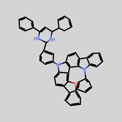 C1=CCC(C2C=C(c3ccccc3)NC(c3cccc(-n4c5ccc6c7ccccc7oc6c5c5c4ccc4c6ccccc6n(-c6ccccc6)c45)c3)N2)C=C1